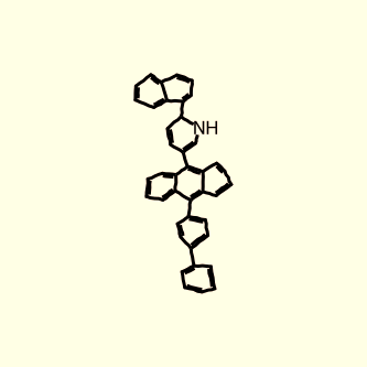 C1=CC(c2cccc3ccccc23)NC=C1c1c2ccccc2c(-c2ccc(-c3ccccc3)cc2)c2ccccc12